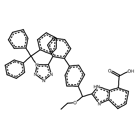 CCOC(c1ccc(-c2ccccc2-c2nnnn2C(c2ccccc2)(c2ccccc2)c2ccccc2)cc1)c1nc2cccc(C(=O)O)c2[nH]1